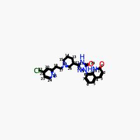 O=c1ccc2cccc(-n3nc(C4CCCN(CCc5cc(Cl)ccn5)C4)[nH]c3=O)c2[nH]1